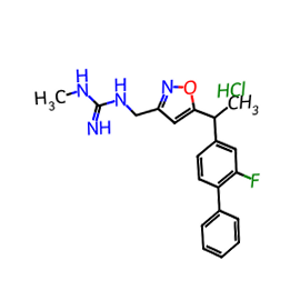 CNC(=N)NCc1cc(C(C)c2ccc(-c3ccccc3)c(F)c2)on1.Cl